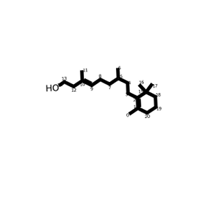 CC1=C(CCC(C)CC/C=C(\C)CCO)C(C)(C)CCC1